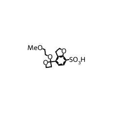 COCCOC1(c2ccc(S(=O)(=O)O)c3c2CCO3)CCO1